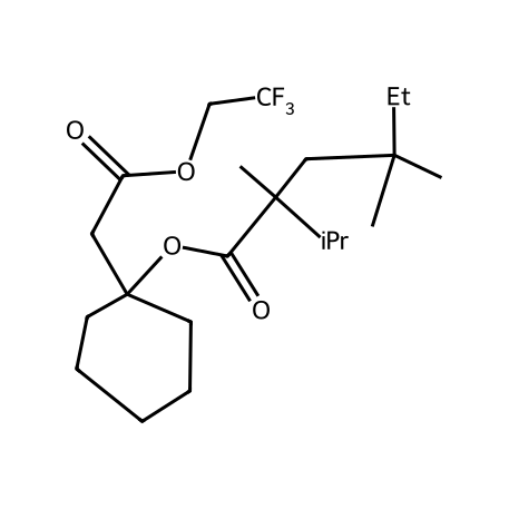 CCC(C)(C)CC(C)(C(=O)OC1(CC(=O)OCC(F)(F)F)CCCCC1)C(C)C